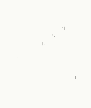 CC1CCC(C(=O)O)C(N=[N+]=[N-])C1